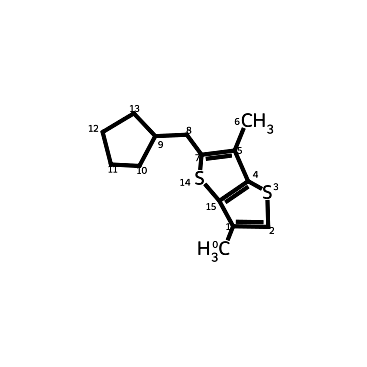 Cc1csc2c(C)c(CC3CCCC3)sc12